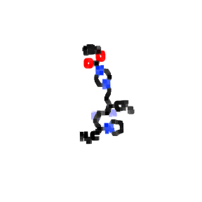 C=C(/C=C\C=C(/CCN1CCN(C(=O)OC(C)(C)C)CC1)C(F)(F)F)N1CCCC1